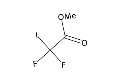 COC(=O)C(F)(F)I